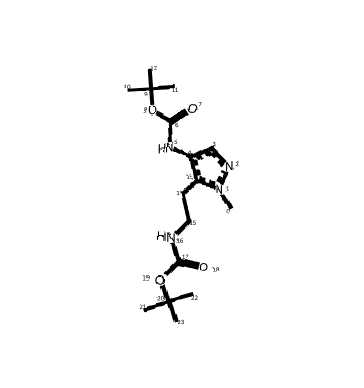 Cn1ncc(NC(=O)OC(C)(C)C)c1CCNC(=O)OC(C)(C)C